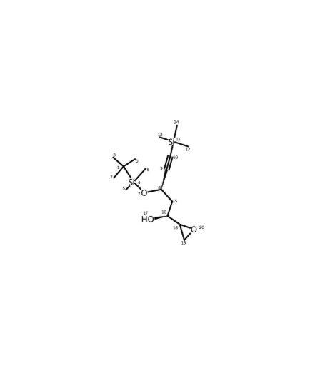 CC(C)(C)[Si](C)(C)O[C@@H](C#C[Si](C)(C)C)C[C@H](O)C1CO1